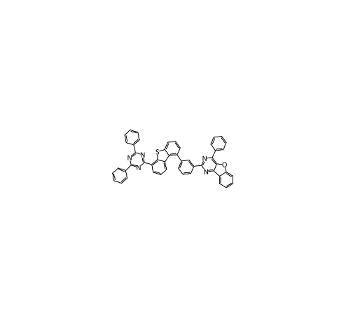 c1ccc(-c2nc(-c3ccccc3)nc(-c3cccc4c3sc3cccc(-c5cccc(-c6nc(-c7ccccc7)c7oc8ccccc8c7n6)c5)c34)n2)cc1